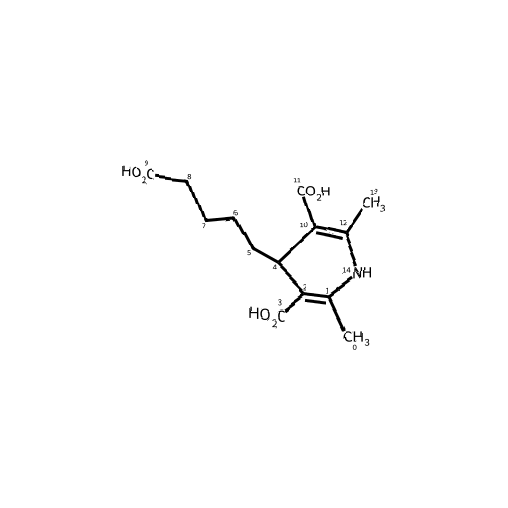 CC1=C(C(=O)O)C(CCCCC(=O)O)C(C(=O)O)=C(C)N1